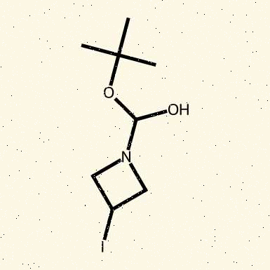 CC(C)(C)OC(O)N1CC(I)C1